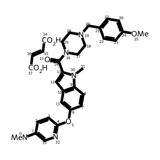 CNc1ccc(Oc2ccc3c(c2)cc(C(=O)N2CCN(Cc4ccc(OC)cc4)CC2)n3C)nc1.O=C(O)C=CC(=O)O